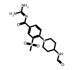 CS(=O)(=O)c1cc(C(=O)N=C(N)N)ccc1N1CCC(NC=O)CC1